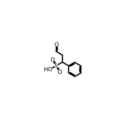 O=[C]CC(c1ccccc1)S(=O)(=O)O